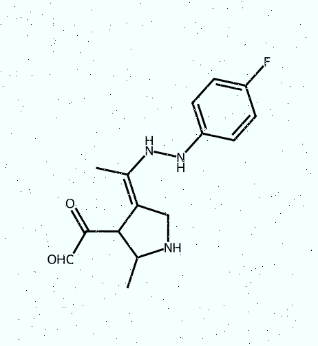 CC(NNc1ccc(F)cc1)=C1CNC(C)C1C(=O)C=O